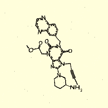 CC#CCn1c(N2CCCC(N)C2)nc2c1c(=O)n(Cc1ccc3nccnc3c1)c(=O)n2CC(=O)OC